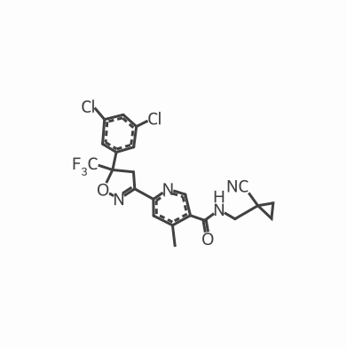 Cc1cc(C2=NOC(c3cc(Cl)cc(Cl)c3)(C(F)(F)F)C2)ncc1C(=O)NCC1(C#N)CC1